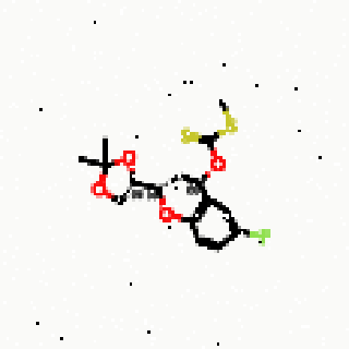 CSC(=S)O[C@H]1C[C@@H]([C@@H]2COC(C)(C)O2)Oc2ccc(F)cc21